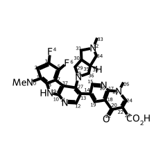 CNc1cc(F)c(F)c2c1[nH]c1ncc(-c3cnc4c(c3)c(=O)c(C(=O)O)cn4C)c(N3CC4CN(C)C[C@@H]4C3)c12